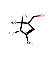 CC1=CC(CO)C(C)(C)[C@@H]1C